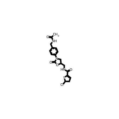 CC(=O)NCc1ccc(N2CC(CNC(=O)C3=CCC(Cl)S3)OC2=O)cc1